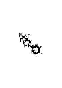 FC(F)(F)C(F)(F)CNc1ccccn1